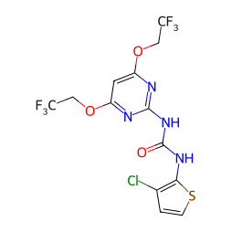 O=C(Nc1nc(OCC(F)(F)F)cc(OCC(F)(F)F)n1)Nc1sccc1Cl